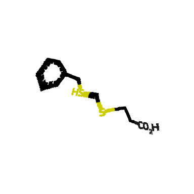 O=C(O)CCSC=[SH]Cc1ccccc1